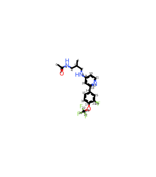 CC(=O)NCC(C)CNc1ccnc(-c2ccc(OC(F)(F)F)c(F)c2)c1